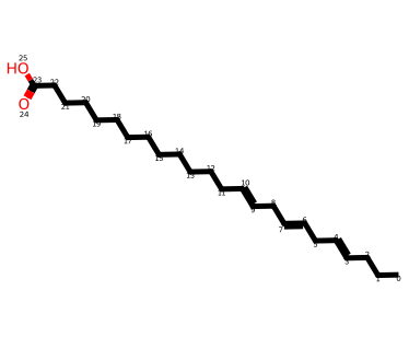 CCCC=CCC=CCC=CCCCCCCCCCCCCC(=O)O